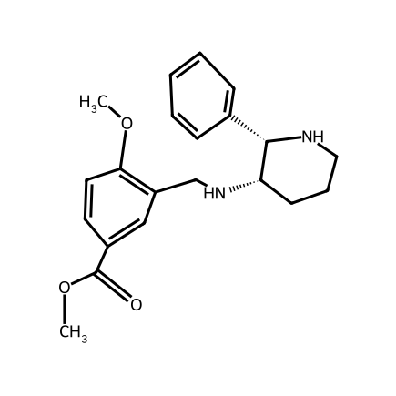 COC(=O)c1ccc(OC)c(CN[C@H]2CCCN[C@H]2c2ccccc2)c1